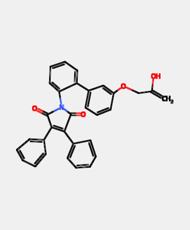 C=C(O)COc1cccc(-c2ccccc2N2C(=O)C(c3ccccc3)=C(c3ccccc3)C2=O)c1